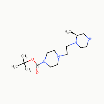 C[C@H]1CNCCN1CCN1CCN(C(=O)OC(C)(C)C)CC1